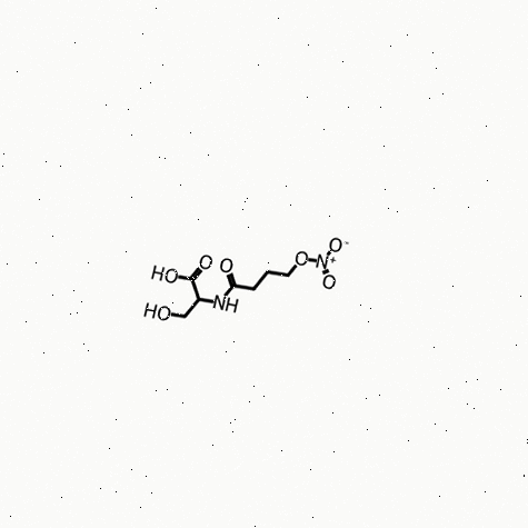 O=C(CCCO[N+](=O)[O-])NC(CO)C(=O)O